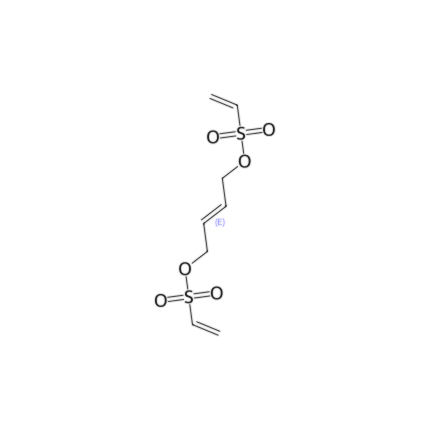 C=CS(=O)(=O)OC/C=C/COS(=O)(=O)C=C